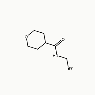 CC(C)CNC(=O)C1CCOCC1